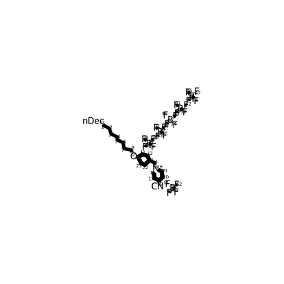 CCCCCCCCCCCCCCCCCCOc1ccc(C[n+]2ccc(C#N)cc2)cc1.F[B-](F)(F)F.F[B-](F)(F)F.F[B-](F)(F)F.F[B-](F)(F)F.F[B-](F)(F)F.F[B-](F)(F)F